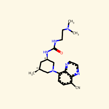 C[C@H]1C[C@@H](NC(=O)NCCN(C)C)CN(c2ccc(C#N)c3nccnc23)C1